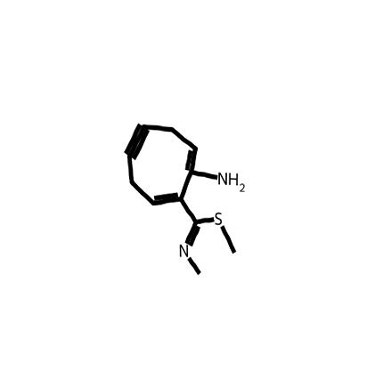 CN=C(SC)C1=C/CC#CC/C=C\1N